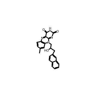 Cc1ccc2nc3c(=O)[nH]c(=O)nc-3n(CC(O)Cc3ccc4ccccc4c3)c2c1